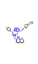 Cc1ccc(CCN(Cc2ccc3ccccc3n2)Cc2nncn2CC#Cc2ccc(C#N)cc2)cc1